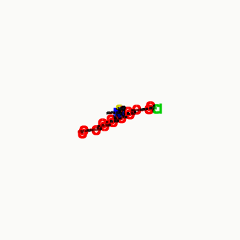 C=CC(=O)OCCCCCCOc1ccc(C(=O)O[C@H]2CC[C@H](C(=O)Oc3ccc(C(=O)O[C@H]4CC[C@H](C(=O)Oc5ccc(OCCCCCCOC(=O)CCCl)cc5)CC4)c(/C=N/N(CCCCCC)c4nc5ccccc5s4)c3)CC2)cc1